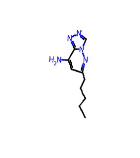 CCCCCc1cc(N)c2nncn2n1